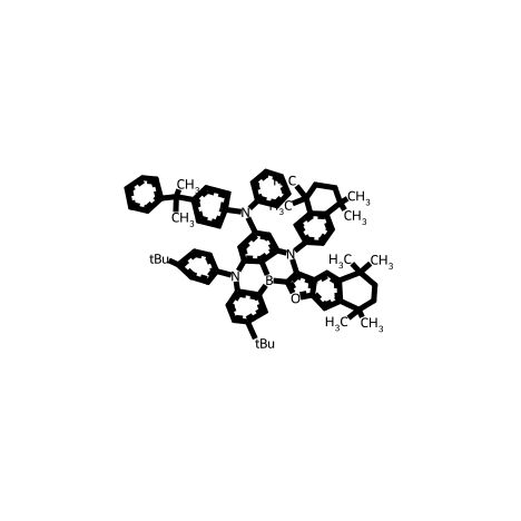 CC(C)(C)c1ccc(N2c3ccc(C(C)(C)C)cc3B3c4oc5cc6c(cc5c4N(c4ccc5c(c4)C(C)(C)CCC5(C)C)c4cc(N(c5ccccc5)c5ccc(C(C)(C)c7ccccc7)cc5)cc2c43)C(C)(C)CCC6(C)C)cc1